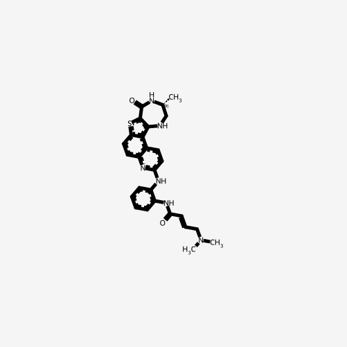 C[C@@H]1CNc2c(sc3ccc4nc(Nc5ccccc5NC(=O)C=CCN(C)C)ccc4c23)C(=O)N1